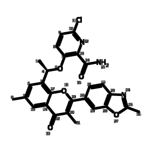 Cc1cc([C@@H](C)Oc2ccc(Cl)nc2C(N)=O)c2oc(-c3ccc4nc(C)oc4c3)c(C)c(=O)c2c1